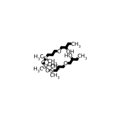 CCC(O)COCCC[Si](C)(C)O[Si](C)(C)O[Si](C)(C)CCCOCC(O)CC